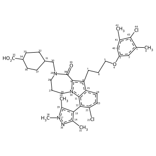 Cc1cc(OCCCc2c3n(c4c(-c5c(C)nn(C)c5C)c(Cl)ccc24)CCCN(CC2CCC(C(=O)O)CC2)C3=O)cc(C)c1Cl